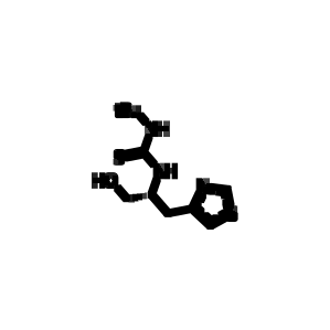 CC(C)(C)NC(=S)N[C@@H](CO)Cc1cscn1